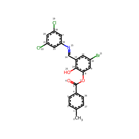 Cc1ccc(C(=O)Oc2cc(Br)cc(C=Nc3cc(Cl)cc(Cl)c3)c2O)cc1